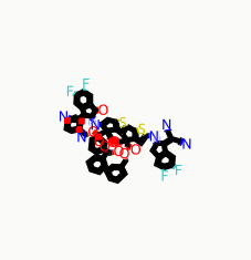 N#CC(C#N)=C1/C(=N/c2cc3c(s2)-c2sc4c(c2C3(C(=O)OCc2ccccc2)C(=O)OCc2ccccc2)C(C(=O)OCc2ccccc2)(C(=O)OCc2ccccc2)C(/N=C2\C(=O)c3cc(F)c(F)cc3C2=C(C#N)C#N)=C4)Cc2cc(F)c(F)cc21